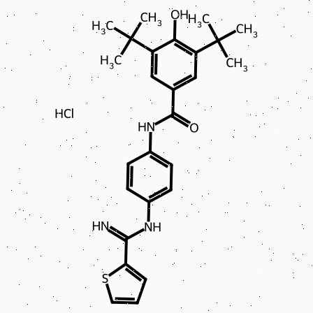 CC(C)(C)c1cc(C(=O)Nc2ccc(NC(=N)c3cccs3)cc2)cc(C(C)(C)C)c1O.Cl